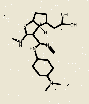 C=NC(NC1CCC(N(C)C)CC1)C1C(NC)SC2CCC(CC(O)O)[C@H]21